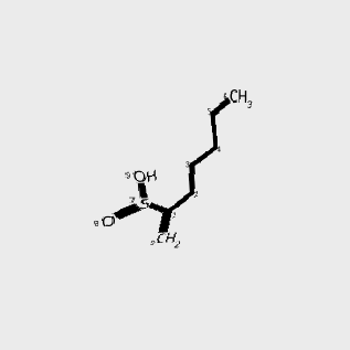 C=C(CCCCC)S(=O)O